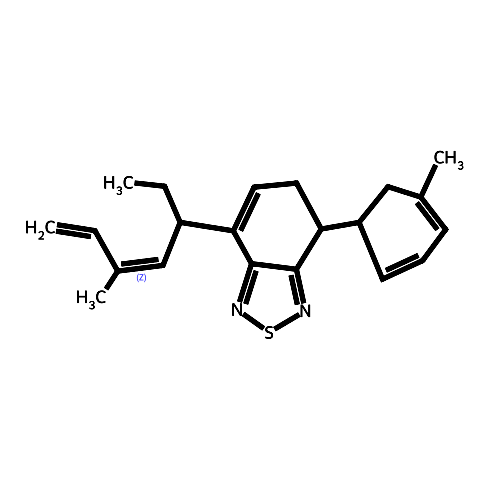 C=C/C(C)=C\C(CC)C1=CCC(C2C=CC=C(C)C2)c2nsnc21